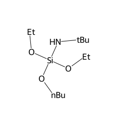 CCCCO[Si](NC(C)(C)C)(OCC)OCC